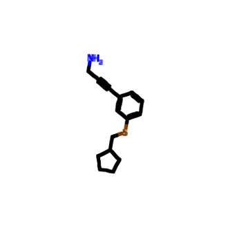 NCC#Cc1cccc(SCC2CCCC2)c1